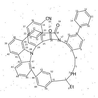 CCC1PCCc2ccc(-c3ccccc3)cc2N2C(=O)c3cccc(c3C2=O)-n2c3c(-c4ccc(C#N)cc4)cccc3c3cccc(c32)-c2ccc1cc2